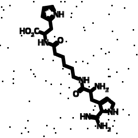 N=C(N)C1NCC=C1CC(N)C(=O)NCCCCCC(=O)NC(Cc1ccc[nH]1)C(=O)O